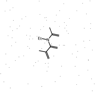 C=C(C)C(=C)N(CC)C(=C)C